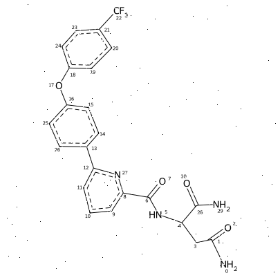 NC(=O)CC(NC(=O)c1cccc(-c2ccc(Oc3ccc(C(F)(F)F)cc3)cc2)n1)C(N)=O